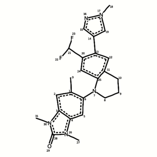 Cc1cc2c(cc1N1CCCc3cc(-c4cnn(C)c4)c(C(F)F)cc31)n(C)c(=O)n2C